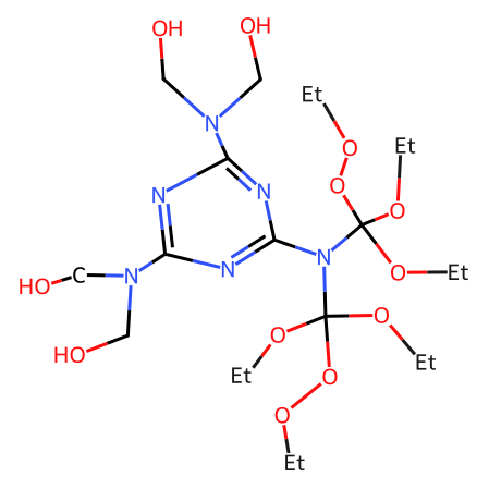 CCOOC(OCC)(OCC)N(c1nc(N(CO)CO)nc(N(CO)CO)n1)C(OCC)(OCC)OOCC